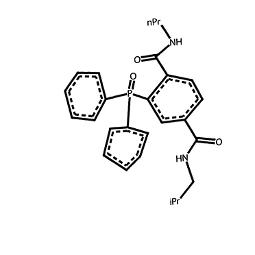 CCCNC(=O)c1ccc(C(=O)NCC(C)C)cc1P(=O)(c1ccccc1)c1ccccc1